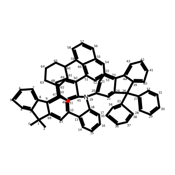 CC1(C)c2ccccc2-c2ccc(-c3ccccc3N(c3ccc4c(c3)C(c3ccccc3)(c3ccccc3)c3ccccc3-4)c3ccccc3-c3cccc4cccc(C5CCCCC5)c34)cc21